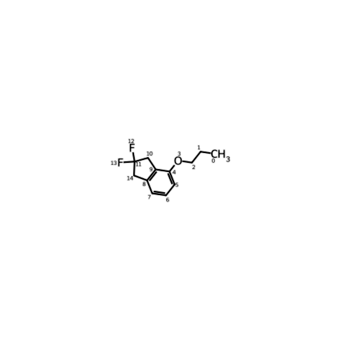 CCCOc1cccc2c1CC(F)(F)C2